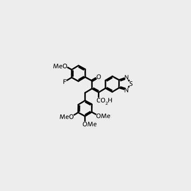 COc1ccc(C(=O)/C(Cc2cc(OC)c(OC)c(OC)c2)=C(/C(=O)O)c2ccc3nsnc3c2)cc1F